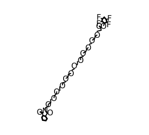 O=C(CCOCCOCCOCCOCCOCCOCCOCCOCCOCCOCCOCCOCCN1C(=O)c2ccccc2C1=O)Oc1c(F)c(F)cc(F)c1F